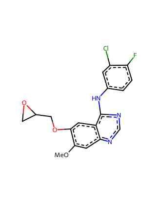 COc1cc2ncnc(Nc3ccc(F)c(Cl)c3)c2cc1OCC1CO1